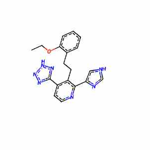 CCOc1ccccc1CCc1c(-c2nn[nH]n2)ccnc1-c1c[nH]cn1